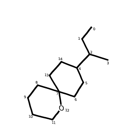 CCC(C)C1CCC2(CCCCO2)CC1